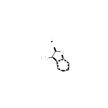 NC1=c2ccccc2=NC1=C=O